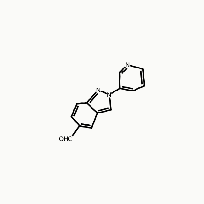 O=Cc1ccc2nn(-c3cccnc3)cc2c1